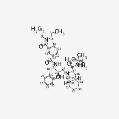 CCCN(CCC)C(=O)c1cccc(C(=O)N[C@@H](Cc2ccccc2)[C@H](O)CN2C[C@H]3CCCC[C@H]3CC2C(=O)NC(C)(C)C)c1